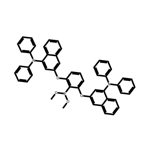 COB(OC)c1c(Oc2cc(N(c3ccccc3)c3ccccc3)c3ccccc3c2)cccc1Oc1cc(N(c2ccccc2)c2ccccc2)c2ccccc2c1